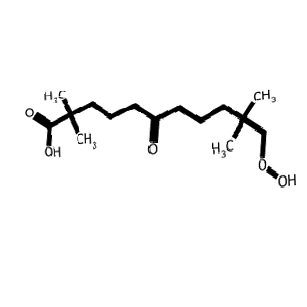 CC(C)(CCCC(=O)CCCC(C)(C)C(=O)O)COO